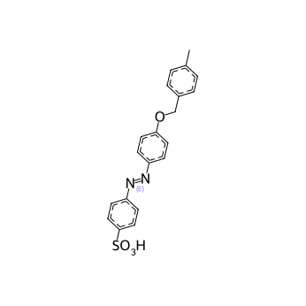 Cc1ccc(COc2ccc(/N=N/c3ccc(S(=O)(=O)O)cc3)cc2)cc1